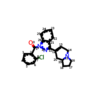 O=C(c1ccccc1Cl)n1nc(C2=CCN3CCCC3C2)c2ccccc21